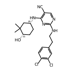 CC1(C)C[C@H](Nc2nc(NCCc3ccc(Cl)c(Cl)c3)ncc2C#N)CC[C@@H]1O